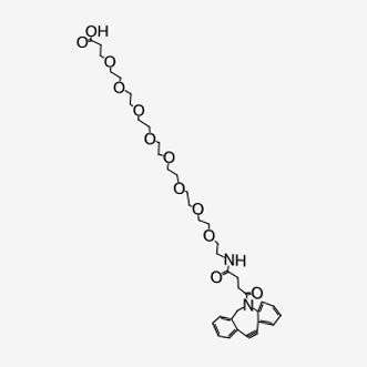 O=C(O)CCOCCOCCOCCOCCOCCOCCOCCOCCNC(=O)CCC(=O)N1Cc2ccccc2C#Cc2ccccc21